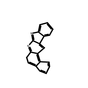 C1=c2ccccc2=c2cc3c(nc2C1)=Nc1ccccc1-3